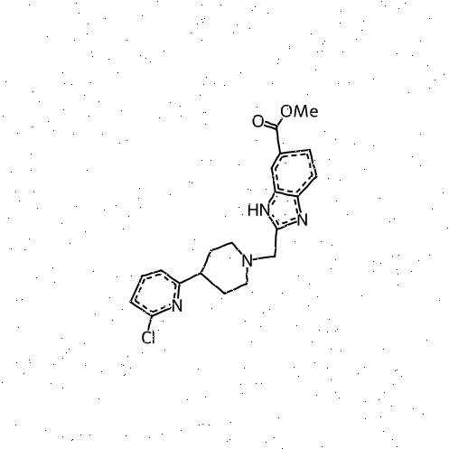 COC(=O)c1ccc2nc(CN3CCC(c4cccc(Cl)n4)CC3)[nH]c2c1